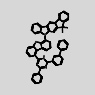 CC1(C)c2ccccc2-c2cc3c4ccccc4n(-c4cccc5c4oc4cccc(C6=NC(c7ccccc7)=NC(c7cccc(-c8ccccc8)c7)N6)c45)c3cc21